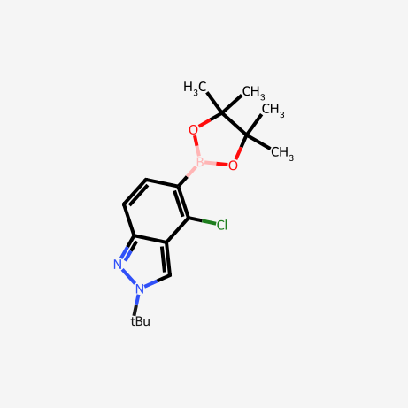 CC(C)(C)n1cc2c(Cl)c(B3OC(C)(C)C(C)(C)O3)ccc2n1